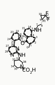 Cc1ccc2c(NCC[C@@H]3CC3(F)F)cccc2c1Oc1ncccc1-c1ccnc(NC2CCCN(C(=O)O)C2)n1